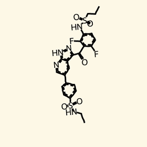 CCCS(=O)(=O)Nc1ccc(F)c(C(=O)c2n[nH]c3ncc(-c4ccc(S(=O)(=O)NCC)cc4)cc23)c1F